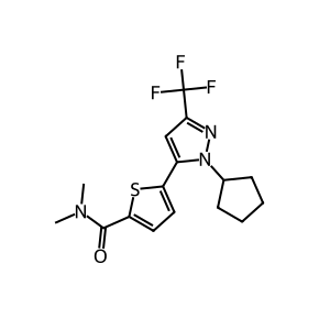 CN(C)C(=O)c1ccc(-c2cc(C(F)(F)F)nn2C2CCCC2)s1